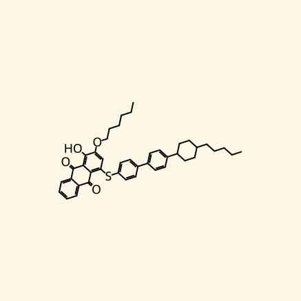 CCCCCCOc1cc(Sc2ccc(-c3ccc(C4CCC(CCCCC)CC4)cc3)cc2)c2c(c1O)C(=O)c1ccccc1C2=O